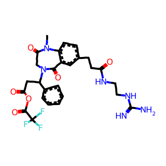 CN1C(=O)CN(C(CC(=O)OC(=O)C(F)(F)F)c2ccccc2)C(=O)c2cc(CCC(=O)NCCNC(=N)N)ccc21